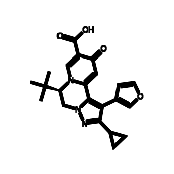 CC(C)(C)[C@@H]1Cn2nc(C3CC3)c(-c3ccoc3)c2-c2cc(=O)c(C(=O)O)cn21